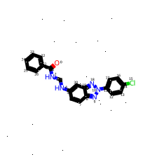 O=C(NCNc1ccc2nn(-c3ccc(Cl)cc3)nc2c1)c1ccccc1